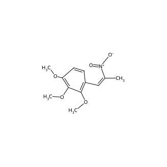 COc1ccc(C=C(C)[N+](=O)[O-])c(OC)c1OC